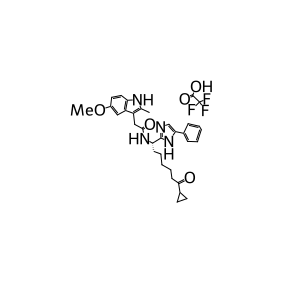 COc1ccc2[nH]c(C)c(CC(=O)N[C@@H](CCCCCC(=O)C3CC3)c3ncc(-c4ccccc4)[nH]3)c2c1.O=C(O)C(F)(F)F